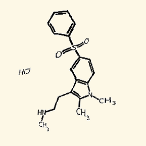 CNCCc1c(C)n(C)c2ccc(S(=O)(=O)c3ccccc3)cc12.Cl